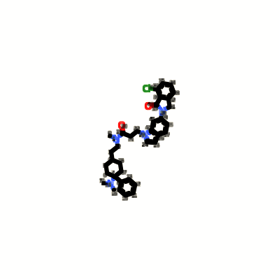 CN(CCC1CCC(c2ccccc2)(N(C)C)CC1)C(=O)CCn1ccc2ccc(N3Cc4cccc(Cl)c4C3=O)cc21